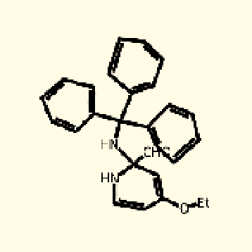 CCOC1=CC(C=O)(NC(c2ccccc2)(c2ccccc2)c2ccccc2)NC=C1